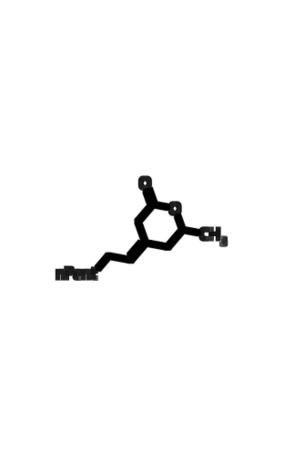 CCCCCC/C=C1\CC(=O)OC(C)C1